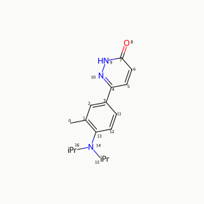 Cc1cc(-c2ccc(=O)[nH]n2)ccc1N(C(C)C)C(C)C